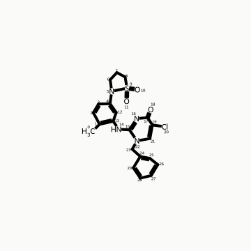 Cc1ccc(N2CCCS2(=O)=O)cc1Nc1nc(=O)c(Cl)cn1Cc1ccccc1